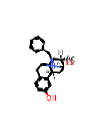 Br.CC(=O)[C@H]1CC2C3Cc4ccc(O)cc4[C@@]2(C)CC1N3Cc1ccccc1